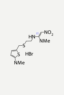 Br.CN/C(=C\[N+](=O)[O-])NCCSCc1ccc(NC)s1